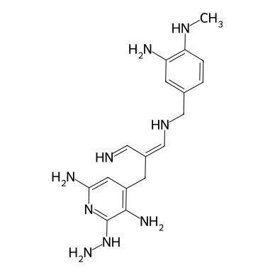 CNc1ccc(CN/C=C(\C=N)Cc2cc(N)nc(NN)c2N)cc1N